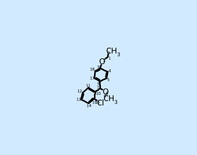 CCOc1ccc(C(OC)c2ccccc2Cl)cc1